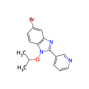 CC(C)On1c(-c2cccnc2)nc2cc(Br)ccc21